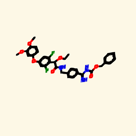 CCOC(C(=O)NCc1ccc(C(=N)NC(=O)OCc2ccccc2)cc1)c1c(F)cc(Oc2ccc(OC)c(OC)c2)cc1F